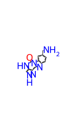 NCc1ccc2nc3c4n[nH]cc4[nH]c(=O)n3c2c1